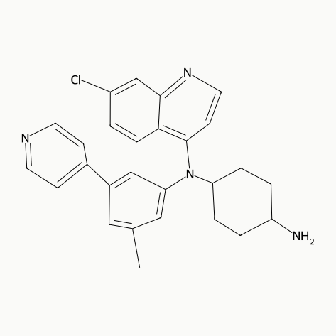 Cc1cc(-c2ccncc2)cc(N(c2ccnc3cc(Cl)ccc23)C2CCC(N)CC2)c1